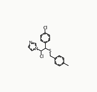 Cc1ccc(CSC(c2ccc(Cl)cc2)C(Cl)n2ccnc2)cc1